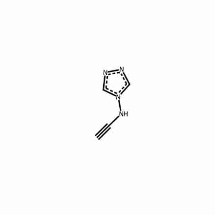 C#CNn1cnnc1